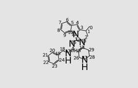 CC(C)c1cc2ccccc2n1-c1nc2c(c(NCc3ccccc3)n1)CNCC2